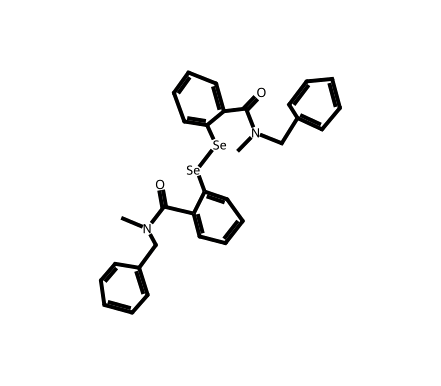 CN(Cc1ccccc1)C(=O)c1ccccc1[Se][Se]c1ccccc1C(=O)N(C)Cc1ccccc1